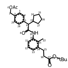 CC(=O)OCc1ccc(C(C(=O)Nc2cccc(CCC(=O)OC(C)(C)C)c2C)C2CCCC2)cc1